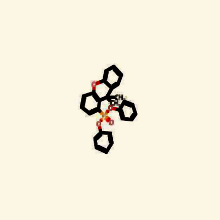 CC1(C)c2ccccc2Oc2cccc(P(=O)(Oc3ccccc3)Oc3ccccc3)c21